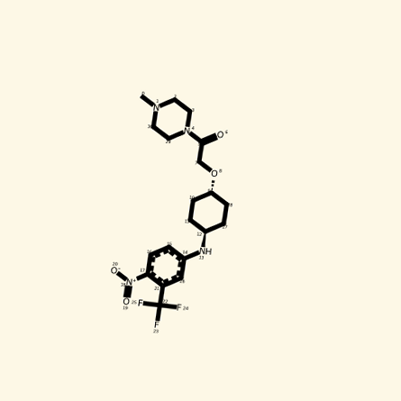 CN1CCN(C(=O)CO[C@H]2CC[C@H](Nc3ccc([N+](=O)[O-])c(C(F)(F)F)c3)CC2)CC1